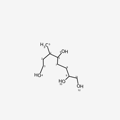 CC(CCO)C(O)CCC(O)CO